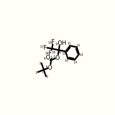 CC(C)(C)OC(=O)OC(O)(c1ccccc1)C(F)(F)F